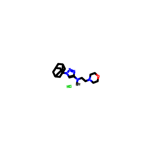 CCCN(CCN1CCOCC1)c1cn(C23CC4CC(CC(C4)C2)C3)nn1.Cl